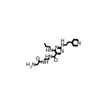 CCCNc1nc(NCCc2ccncc2)ncc1C(=O)NCCNC(=O)CN